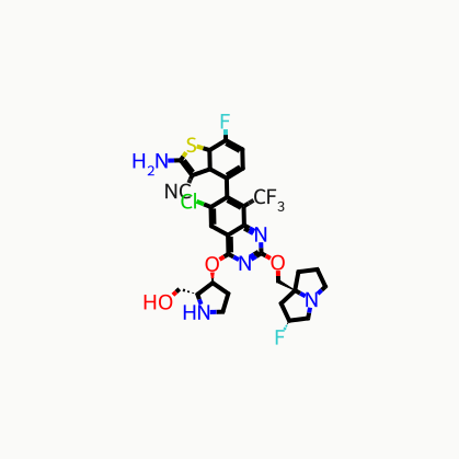 N#CC1=C(N)SC2C(F)=CC=C(c3c(Cl)cc4c(O[C@H]5CCN[C@@H]5CO)nc(OC[C@@]56CCCN5C[C@H](F)C6)nc4c3C(F)(F)F)C12